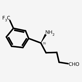 N[C@@H](CCCC=O)c1cccc(C(F)(F)F)c1